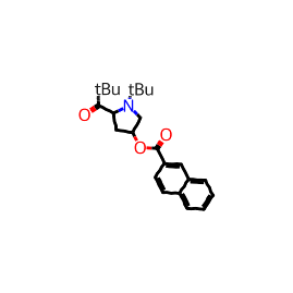 CC(C)(C)C(=O)C1CC(OC(=O)c2ccc3ccccc3c2)CN1C(C)(C)C